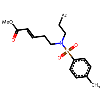 COC(=O)C=CCCN(CCC(C)=O)S(=O)(=O)c1ccc(C)cc1